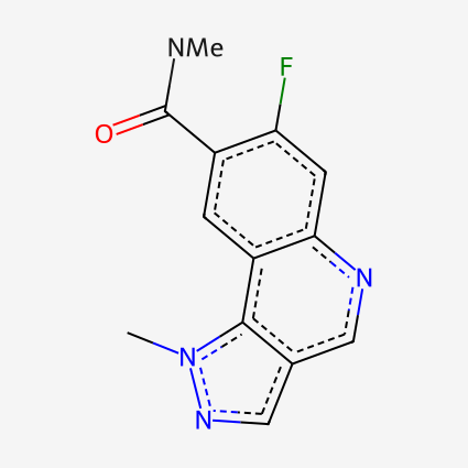 CNC(=O)c1cc2c(cc1F)ncc1cnn(C)c12